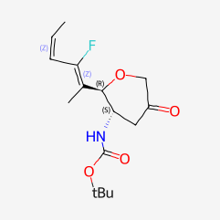 C/C=C\C(F)=C(/C)[C@H]1OCC(=O)C[C@@H]1NC(=O)OC(C)(C)C